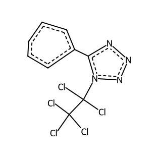 ClC(Cl)(Cl)C(Cl)(Cl)n1nnnc1-c1ccccc1